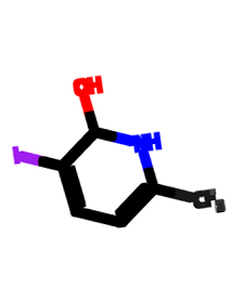 OC1NC(C(F)(F)F)=CC=C1I